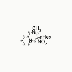 CCCCCCC1([N+](=O)[O-])CN(C)CC2CCCCN2C1